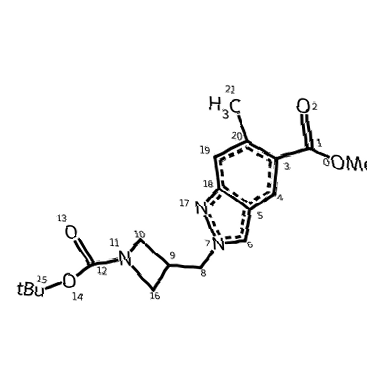 COC(=O)c1cc2cn(CC3CN(C(=O)OC(C)(C)C)C3)nc2cc1C